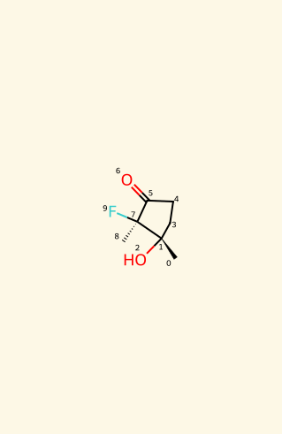 C[C@]1(O)CCC(=O)[C@]1(C)F